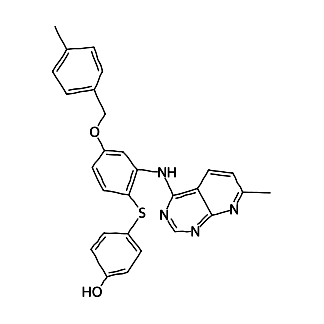 Cc1ccc(COc2ccc(Sc3ccc(O)cc3)c(Nc3ncnc4nc(C)ccc34)c2)cc1